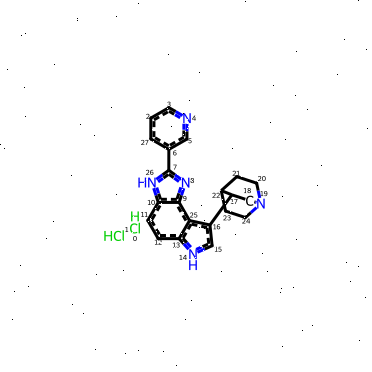 Cl.Cl.c1cncc(-c2nc3c(ccc4[nH]cc(C5CN6CCC5CC6)c43)[nH]2)c1